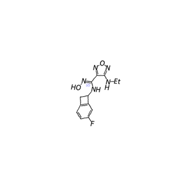 CCNc1nonc1/C(=N/O)NC1Cc2ccc(F)cc21